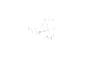 CCCCc1cc(O)c2c(c1)OC(C)(C)[C@@H]1CC[C@](C)(O)C[C@@H]21